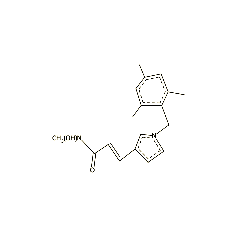 Cc1cc(C)c(Cn2ccc(C=CC(=O)N(C)O)c2)c(C)c1